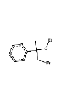 CCOC(C)(CC(C)C)c1ccccn1